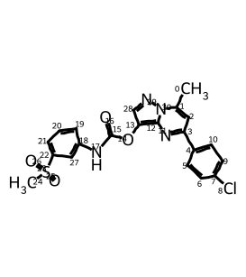 Cc1cc(-c2ccc(Cl)cc2)nc2c(OC(=O)Nc3cccc(S(C)(=O)=O)c3)cnn12